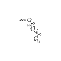 COc1cccc(C(=O)NC2N=CC3=CN(C(=O)c4ccnc(Cl)c4)CCC3=N2)c1